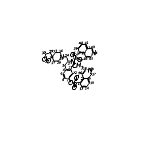 CN(C(Cc1ccc(OS(=O)(=O)c2cccc3cnccc23)cc1)CN1CCC2(CCOO2)CC1)S(=O)(=O)c1cccc2cnccc12